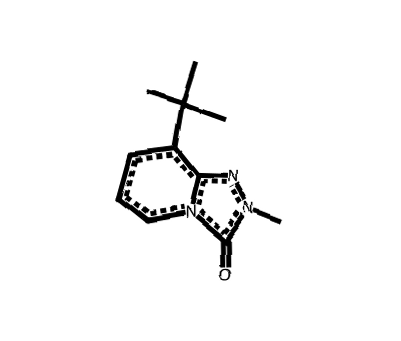 Cn1nc2c(C(C)(C)C)cccn2c1=O